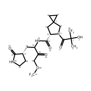 CC(O)(C(=O)N1CC2(CC2)C[C@H]1C(=O)NC(C[C@@H]1CCNC1=O)C(=O)COC(F)(F)F)C(F)(F)F